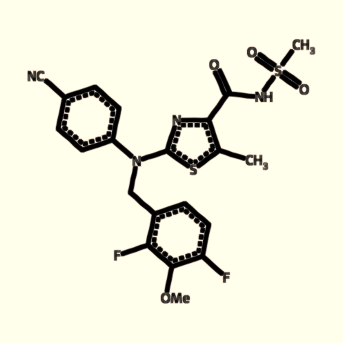 COc1c(F)ccc(CN(c2ccc(C#N)cc2)c2nc(C(=O)NS(C)(=O)=O)c(C)s2)c1F